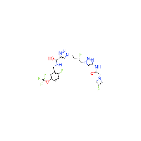 O=C(CN1CC(F)C1)Nc1cn(CC(F)CCn2cc(C(O)NCc3cc(OC(F)(F)F)ccc3F)nn2)nn1